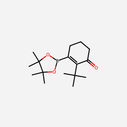 CC(C)(C)C1=C(B2OC(C)(C)C(C)(C)O2)CCCC1=O